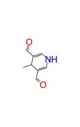 CC1C(C=O)=CNC=C1C=O